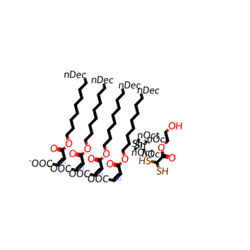 CCCCCCCCCCCCCCCCCCOC(=O)/C=C\C(=O)[O-].CCCCCCCCCCCCCCCCCCOC(=O)/C=C\C(=O)[O-].CCCCCCCCCCCCCCCCCCOC(=O)/C=C\C(=O)[O-].CCCCCCCCCCCCCCCCCCOC(=O)/C=C\C(=O)[O-].CCCCCCC[CH2][Sn+2][CH2]CCCCCCC.CCCCCCC[CH2][Sn][CH2]CCCCCCC.O=C(OCCO)C(S)S